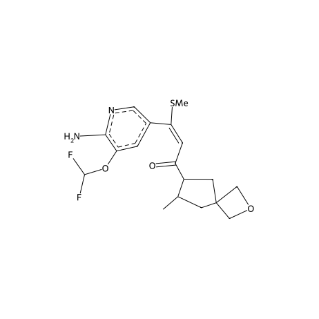 CS/C(=C/C(=O)C1CC2(COC2)CC1C)c1cnc(N)c(OC(F)F)c1